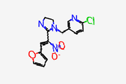 O=[N+]([O-])C(=Cc1ccco1)C1=NCCN1Cc1ccc(Cl)nc1